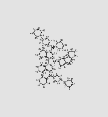 c1ccc(-c2ccc(N(c3ccccc3)c3cc4c(c5ccccc35)c3c5ccccc5c(N(c5ccccc5)c5ccc(-c6ccccc6)cc5)cc3n4-c3ccc4oc5ccccc5c4c3)cc2)cc1